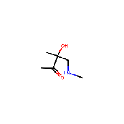 CNCC(C)(O)C(C)=O